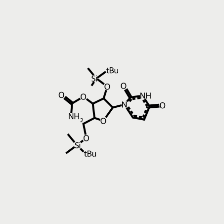 CC(C)(C)[Si](C)(C)OCC1OC(n2ccc(=O)[nH]c2=O)C(O[Si](C)(C)C(C)(C)C)C1OC(N)=O